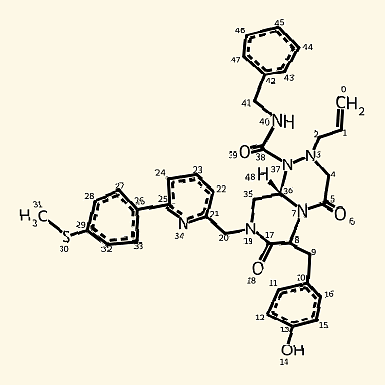 C=CCN1CC(=O)N2C(Cc3ccc(O)cc3)C(=O)N(Cc3cccc(-c4ccc(SC)cc4)n3)C[C@@H]2N1C(=O)NCc1ccccc1